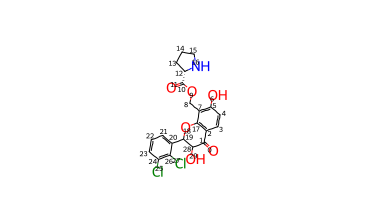 O=C1c2ccc(O)c(COC(=O)[C@@H]3CCCN3)c2OC(c2cccc(Cl)c2Cl)C1O